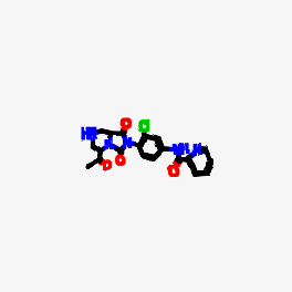 CC(=O)C1CNCC2C(=O)N(c3ccc(NC(=O)c4ccccn4)cc3Cl)C(=O)N12